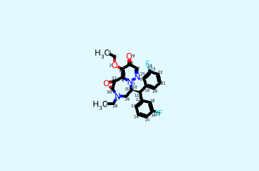 CCOc1c2n(ncc1=O)[C@@H](C(c1cccc(F)c1)c1cccc(F)c1)CN(CC)C1OC21